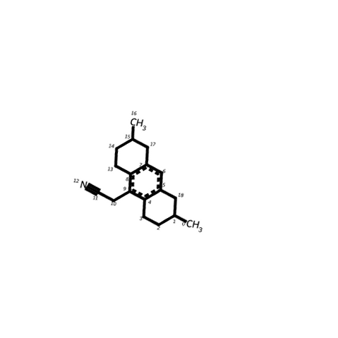 CC1CCc2c(cc3c(c2CC#N)CCC(C)C3)C1